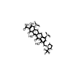 CN(C)c1cc(CN2CCCC2C(F)(F)F)c(O)c2c1CC1CC3C(C(=O)C(C(N)=O)=C(O)[C@H]3N(C)C)C(O)=C1C2=O